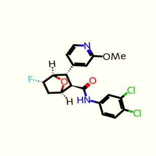 COc1cc([C@H]2[C@H]3O[C@H](C[C@@H]3F)[C@@H]2C(=O)Nc2ccc(Cl)c(Cl)c2)ccn1